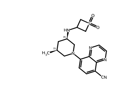 C[C@H]1C[C@@H](NC2CS(=O)(=O)C2)CN(c2ccc(C#N)c3nccnc23)C1